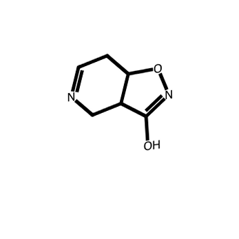 OC1=NOC2CC=NCC12